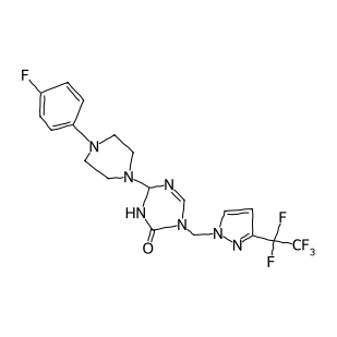 O=C1NC(N2CCN(c3ccc(F)cc3)CC2)N=CN1Cn1ccc(C(F)(F)C(F)(F)F)n1